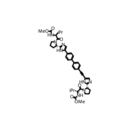 COC(=O)NC(C(=O)N1CCC[C@H]1c1ncc(-c2ccc(-c3ccc(C#Cc4cnc([C@@H]5CCCN5C(=O)[C@@H](NC(=O)OC)C(C)C)[nH]4)cc3)cc2)[nH]1)C(C)C